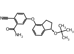 CC(C)(C)O[C@@H]1CCc2c(Oc3ccc(C#N)c(C(N)=O)c3)cccc21